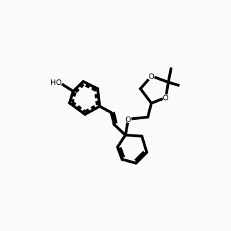 CC1(C)OCC(COC2(C=Cc3ccc(O)cc3)C=CC=CC2)O1